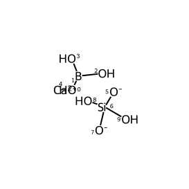 OB(O)O.[Ca+2].[O-][Si]([O-])(O)O